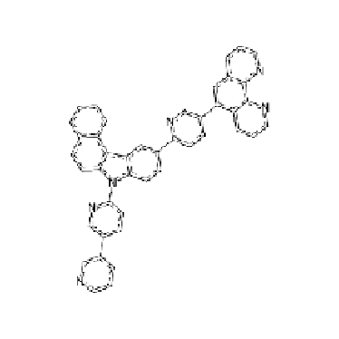 c1cncc(-c2ccc(-n3c4ccc(-c5ccc(-c6cc7cccnc7c7ncccc67)cn5)cc4c4c5ccccc5ccc43)nc2)c1